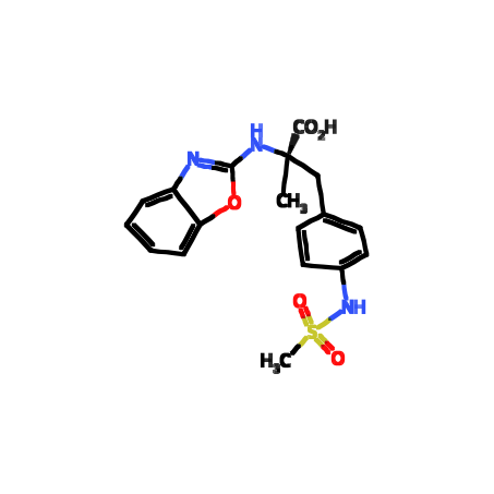 C[C@@](Cc1ccc(NS(C)(=O)=O)cc1)(Nc1nc2ccccc2o1)C(=O)O